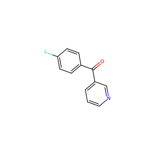 O=C(c1ccc(F)cc1)c1cccnc1